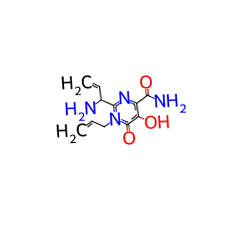 C=CCn1c(C(N)C=C)nc(C(N)=O)c(O)c1=O